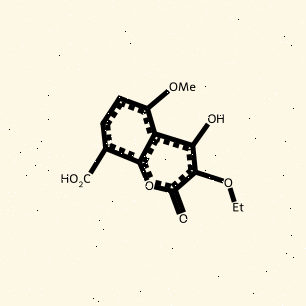 CCOc1c(O)c2c(OC)ccc(C(=O)O)c2oc1=O